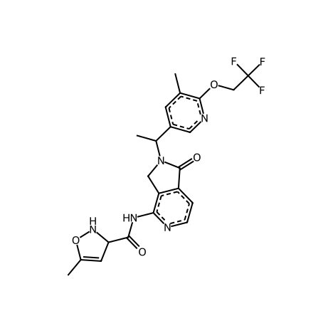 CC1=CC(C(=O)Nc2nccc3c2CN(C(C)c2cnc(OCC(F)(F)F)c(C)c2)C3=O)NO1